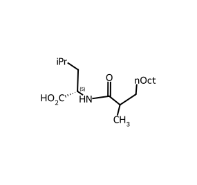 CCCCCCCCCC(C)C(=O)N[C@@H](CC(C)C)C(=O)O